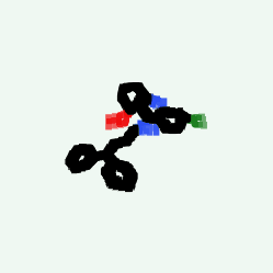 OC1CCCc2nc3cc(Cl)ccc3c(NCCCC(c3ccccc3)c3ccccc3)c21